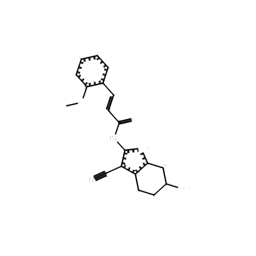 COc1ccccc1C=CC(=O)Nc1sc2c(c1C#N)CCC(O)C2